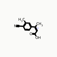 C/C(=C/C(=O)O)c1ccc(C#N)c(C)c1